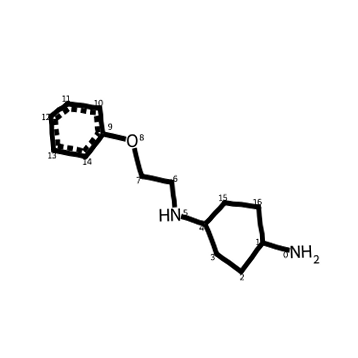 NC1CCC(NCCOc2ccccc2)CC1